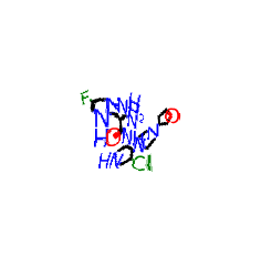 NC1NN2CC(F)CNC2C1C(=O)NC1CNCC(Cl)C1N1CCN(C2CCOC2)CC1